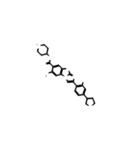 COc1cc2c(cc1C(=O)NC1CCN(C)CC1)sc1nc(-c3ccc(C4CCNC4)cc3F)cn12